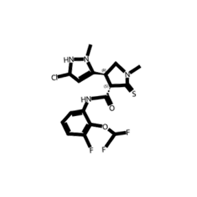 CN1C[C@H](C2=CC(Cl)NN2C)[C@@H](C(=O)Nc2cccc(F)c2OC(F)F)C1=S